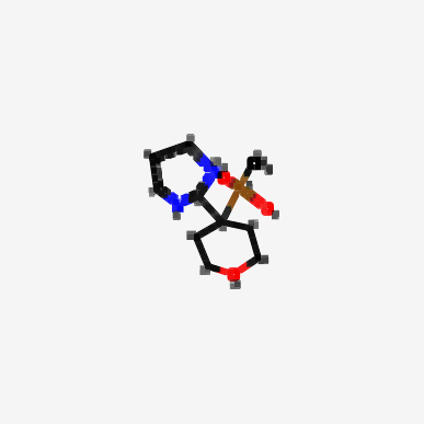 CS(=O)(=O)C1(c2ncccn2)CCOCC1